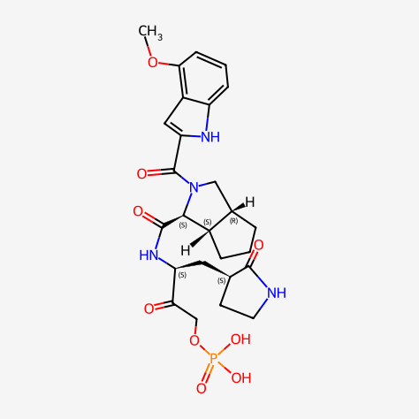 COc1cccc2[nH]c(C(=O)N3C[C@@H]4CCC[C@@H]4[C@H]3C(=O)N[C@@H](C[C@@H]3CCNC3=O)C(=O)COP(=O)(O)O)cc12